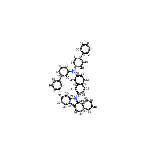 c1ccc(-c2ccc(N(c3cccc(-c4ccccc4)c3)c3ccc4ccc(-n5c6ccccc6c6ccc7ccccc7c65)cc4c3)cc2)cc1